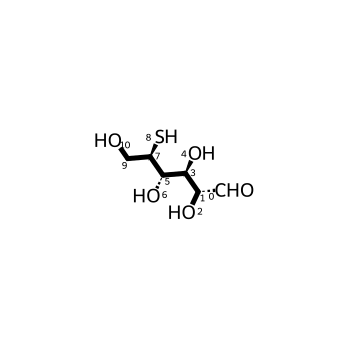 O=C[C@H](O)[C@H](O)[C@H](O)[C@H](S)CO